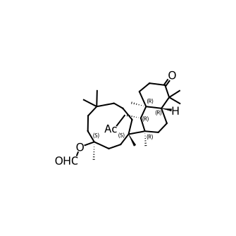 CC(=O)C[C@@H]1[C@@]2(C)CCC(=O)C(C)(C)[C@@H]2CC[C@@]1(C)[C@@]1(C)CCCC(C)(C)CC[C@](C)(OC=O)CC1